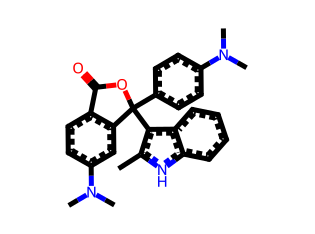 Cc1[nH]c2ccccc2c1C1(c2ccc(N(C)C)cc2)OC(=O)c2ccc(N(C)C)cc21